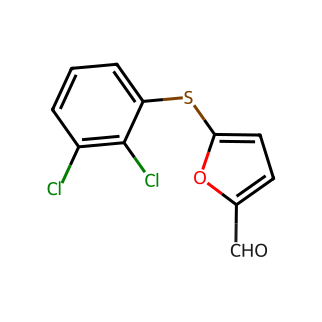 O=Cc1ccc(Sc2cccc(Cl)c2Cl)o1